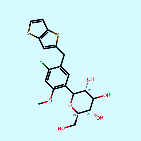 COc1cc(F)c(Cc2cc3sccc3s2)cc1C1O[C@H](CO)[C@@H](O)C(O)[C@H]1O